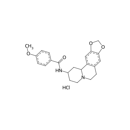 COc1ccc(C(=O)NC2CCN3CCc4cc5c(cc4C3C2)OCO5)cc1.Cl